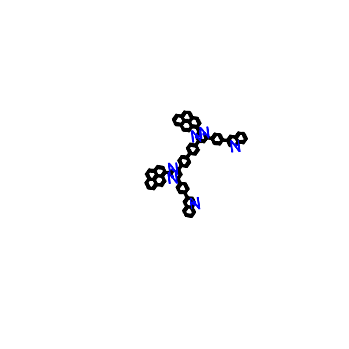 c1ccc2ncc(-c3ccc(-c4cc(-c5ccc(-c6ccc(-c7cc(-c8ccc(-c9cnc%10ccccc%10c9)cc8)nc(-c8ccc9ccc%10cccc%11ccc8c9c%10%11)n7)cc6)cc5)nc(-c5ccc6ccc7cccc8ccc5c6c78)n4)cc3)cc2c1